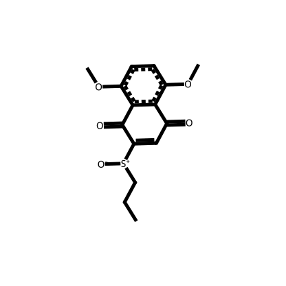 CCC[S+]([O-])C1=CC(=O)c2c(OC)ccc(OC)c2C1=O